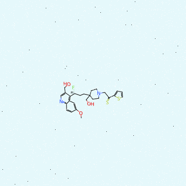 COc1ccc2ncc(CO)c([C@H](F)CCC3(CO)CCN(CC(=S)c4cccs4)CC3)c2c1